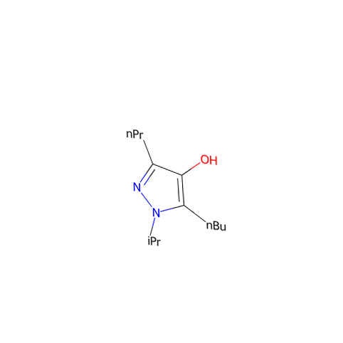 CCCCc1c(O)c(CCC)nn1C(C)C